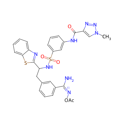 CC(=O)O/N=C(/N)c1cccc(CC(NS(=O)(=O)c2cccc(NC(=O)c3cn(C)nn3)c2)c2nc3ccccc3s2)c1